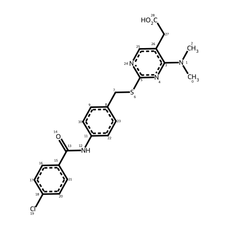 CN(C)c1nc(SCc2ccc(NC(=O)c3ccc(Cl)cc3)cc2)ncc1CC(=O)O